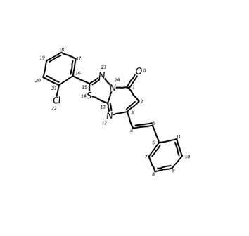 O=c1cc(/C=C/c2ccccc2)nc2sc(-c3ccccc3Cl)nn12